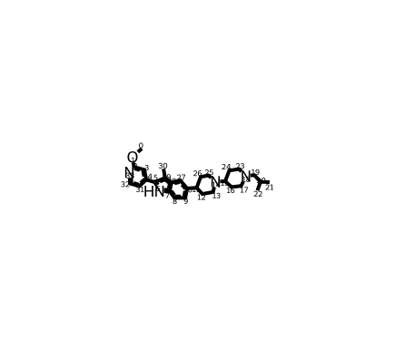 COc1cc(-c2[nH]c3ccc(C4CCN(C5CCN(CC(C)C)CC5)CC4)cc3c2C)ccn1